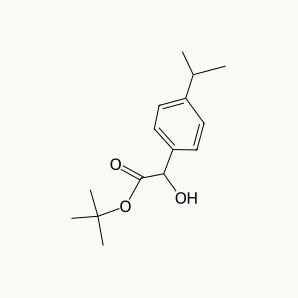 CC(C)c1ccc(C(O)C(=O)OC(C)(C)C)cc1